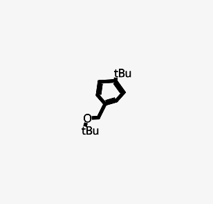 CC(C)(C)OCc1ccc(C(C)(C)C)cc1